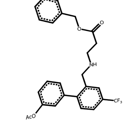 CC(=O)Oc1cccc(-c2ccc(C(F)(F)F)cc2CNCCC(=O)OCc2ccccc2)c1